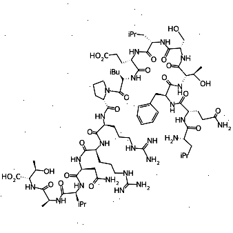 CC[C@H](C)[C@H](NC(=O)[C@H](CCC(=O)O)NC(=O)[C@H](CC(C)C)NC(=O)[C@H](CO)NC(=O)[C@@H](NC(=O)[C@H](Cc1ccccc1)NC(=O)[C@H](CCC(N)=O)NC(=O)[C@@H](N)CC(C)C)[C@@H](C)O)C(=O)N1CCC[C@H]1C(=O)N[C@@H](CCCNC(=N)N)C(=O)N[C@@H](CCCNC(=N)N)C(=O)N[C@@H](CC(N)=O)C(=O)N[C@H](C(=O)N[C@@H](C)C(=O)N[C@H](C(=O)O)[C@@H](C)O)C(C)C